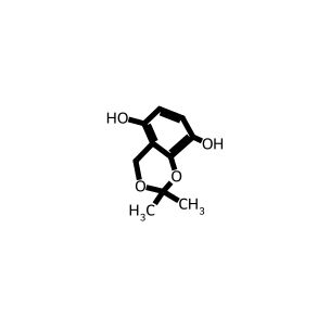 CC1(C)OCc2c(O)ccc(O)c2O1